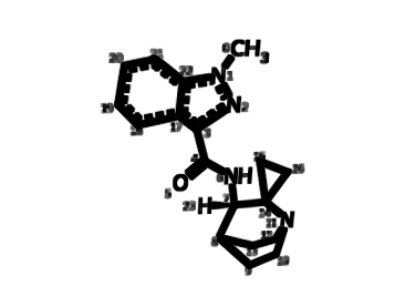 Cn1nc(C(=O)N[C@H]2C3CCN(CC3)C23CC3)c2ccccc21